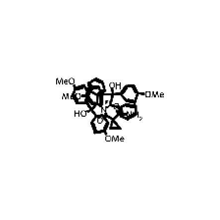 COc1ccc(C(O)(c2ccc(OC)cc2)[C@@H](c2ccccc2)N(C(=O)C2(C(N)=O)CC2)[C@H](c2ccccc2)C(O)(c2ccc(OC)cc2)c2ccc(OC)cc2)cc1